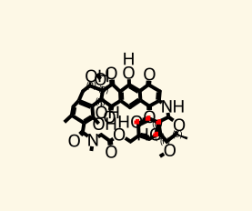 CO[C@@H]1[C@@H](O)[C@@H](CO)C(NC2=CC(=O)c3c(cc4c(c3O)C(=O)[C@]3(OC)[C@H](O)Cc5cc(C)c(C(=O)N(C)CC(=O)OCc6ccccc6)c(O)c5[C@]3(O)C4=O)C2=O)O[C@H]1C